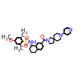 COc1cc(C)c(S(=O)(=O)N[C@H]2CCCc3ccc(C(=O)N4CCC5(CCN(c6ccncc6)CC5)C4)cc32)c(C)c1